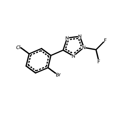 FC(F)n1nnc(-c2cc(Cl)ccc2Br)n1